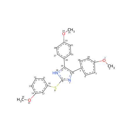 COc1ccc(-c2nc(Sc3cccc(OC)c3)[nH]c2-c2ccc(OC)cc2)cc1